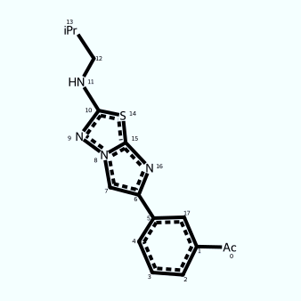 CC(=O)c1cccc(-c2cn3nc(NCC(C)C)sc3n2)c1